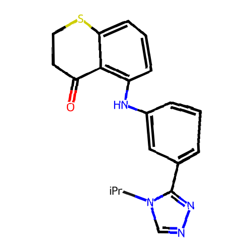 CC(C)n1cnnc1-c1cccc(Nc2cccc3c2C(=O)CCS3)c1